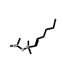 CCCCC=C[Si](C)(C)O[SiH](C)C